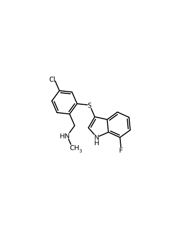 CNCc1ccc(Cl)cc1Sc1c[nH]c2c(F)cccc12